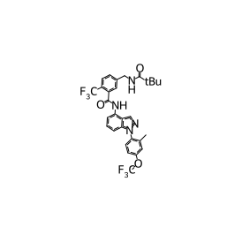 Cc1cc(OC(F)(F)F)ccc1-n1ncc2c(NC(=O)c3cc(CNC(=O)C(C)(C)C)ccc3C(F)(F)F)cccc21